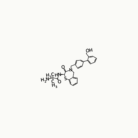 CC(C)(N)C(=O)N[C@@H]1Sc2ccccc2CN(Cc2ccc(-c3ccccc3CO)cc2)C1=O